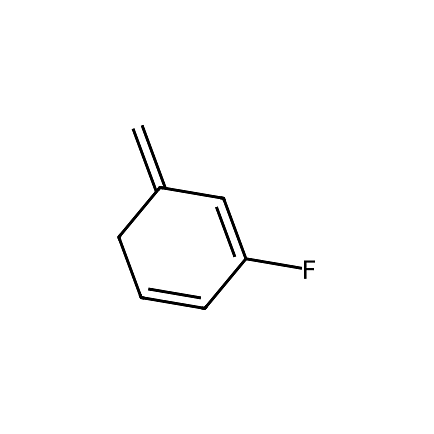 C=C1C=C(F)C=CC1